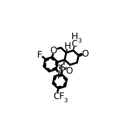 C[C@H]1C(=O)CC[C@]2(S(=O)(=O)c3ccc(C(F)(F)F)cc3)c3c(F)ccc(F)c3OC[C@H]12